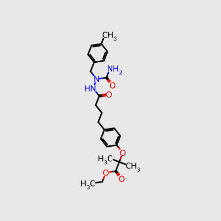 CCOC(=O)C(C)(C)Oc1ccc(CCCC(=O)NN(Cc2ccc(C)cc2)C(N)=O)cc1